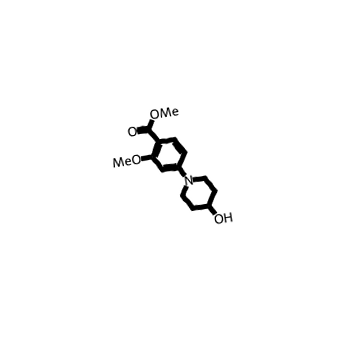 COC(=O)c1ccc(N2CCC(O)CC2)cc1OC